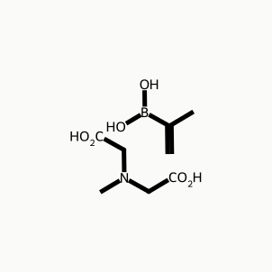 C=C(C)B(O)O.CN(CC(=O)O)CC(=O)O